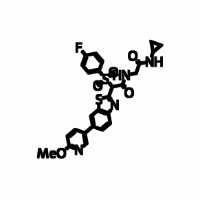 COc1ccc(-c2ccc3nc(C(C(=O)NCC(=O)NC4CC4)S(=O)(=O)c4ccc(F)cc4)sc3c2)cn1